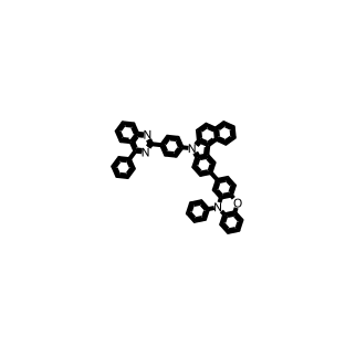 c1ccc(-c2nc(-c3ccc(-n4c5ccc(-c6ccc7c(c6)N(c6ccccc6)c6ccccc6O7)cc5c5c6ccccc6ccc54)cc3)nc3ccccc23)cc1